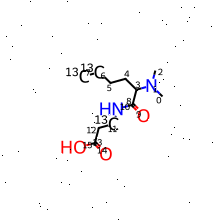 CN(C)C(CC[13CH2][13CH3])C(=O)N[13CH2]CC(=O)O